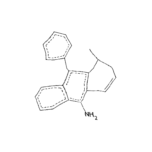 CC1CC=Cc2c1c(-c1ccccc1)c1ccccc1c2N